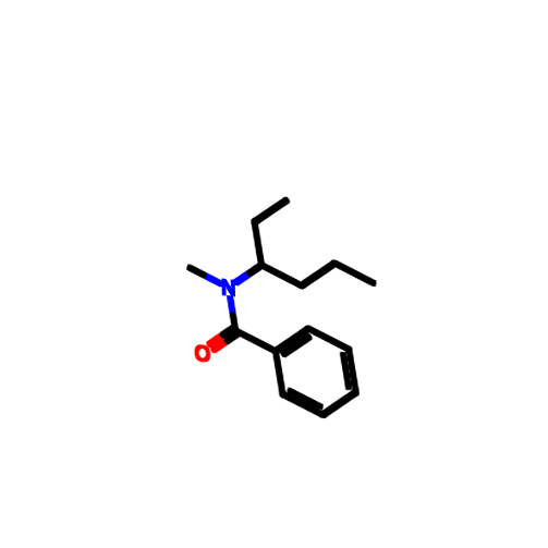 CCCC(CC)N(C)C(=O)c1ccccc1